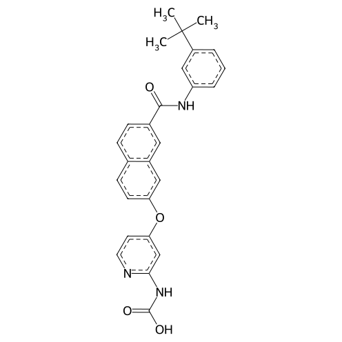 CC(C)(C)c1cccc(NC(=O)c2ccc3ccc(Oc4ccnc(NC(=O)O)c4)cc3c2)c1